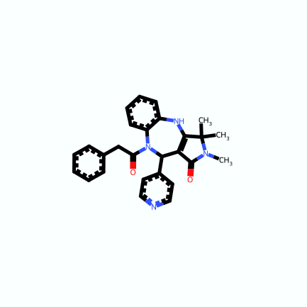 CN1C(=O)C2=C(Nc3ccccc3N(C(=O)Cc3ccccc3)C2c2ccncc2)C1(C)C